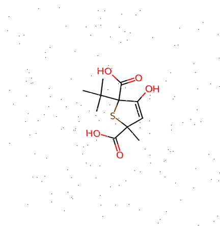 CC1(C(=O)O)C=C(O)C(C(=O)O)(C(C)(C)C)S1